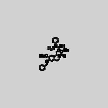 COc1cc2c(cc1OCc1ccccc1)CCN(C(=O)OC(C)(C)C)C2COC(=N)N(N)c1ccccc1